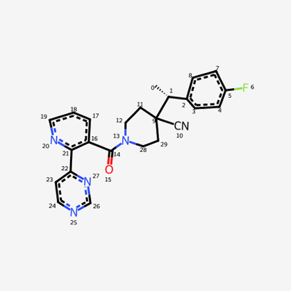 C[C@H](c1ccc(F)cc1)C1(C#N)CCN(C(=O)c2cccnc2-c2ccncn2)CC1